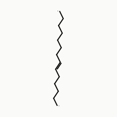 [CH2]CCCCC=CCCCCCC[CH2]